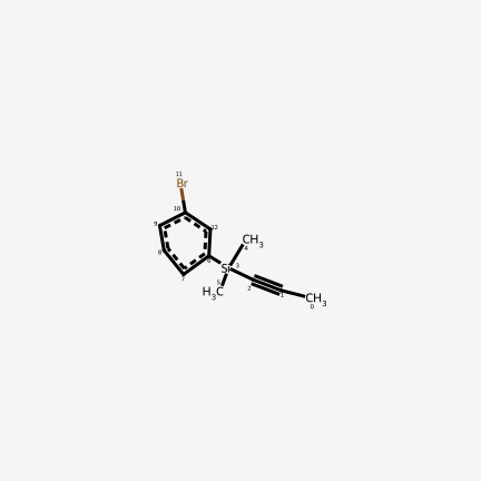 CC#C[Si](C)(C)c1cccc(Br)c1